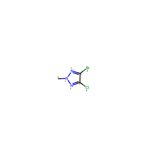 Cn1nc(Cl)c(Br)n1